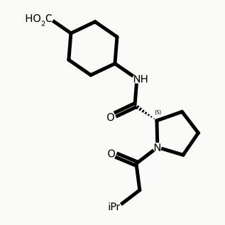 CC(C)CC(=O)N1CCC[C@H]1C(=O)NC1CCC(C(=O)O)CC1